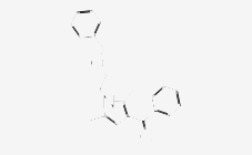 Cc1cc(C(=O)c2ccccc2)c(C)n1CCOCc1ccccc1